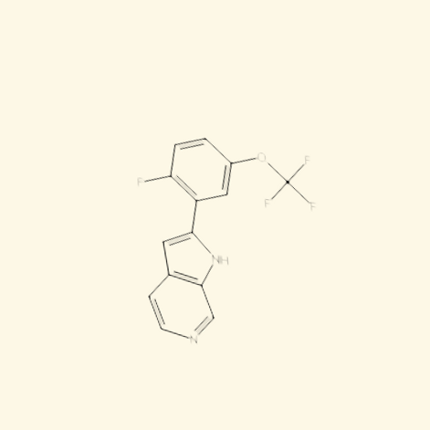 Fc1ccc(OC(F)(F)F)cc1-c1cc2ccncc2[nH]1